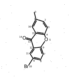 Cc1ccc2oc3ccc(Br)cc3c(=O)c2c1